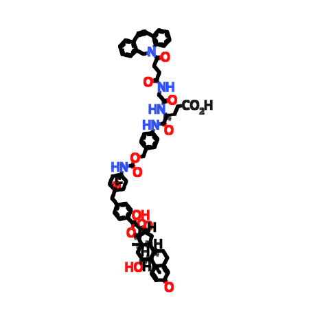 C[C@]12C=CC(=O)C=C1CC[C@@H]1[C@@H]2[C@@H](O)C[C@@]2(C)[C@H]1C[C@H]1OC(c3ccc(CC45CCC(NC(=O)OCc6ccc(NC(=O)[C@H](CCC(=O)O)NC(=O)CNC(=O)CCC(=O)N7Cc8ccccc8C#Cc8ccccc87)cc6)(CC4)CO5)cc3)O[C@]12C(=O)CO